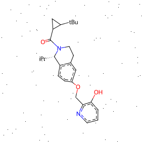 CC(C)[C@H]1c2ccc(OCc3ncccc3O)cc2CCN1C(=O)C1CC1C(C)(C)C